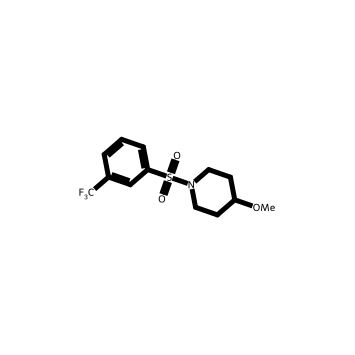 COC1CCN(S(=O)(=O)c2cccc(C(F)(F)F)c2)CC1